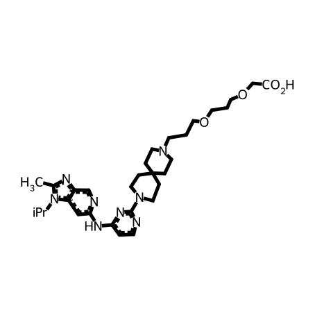 Cc1nc2cnc(Nc3ccnc(N4CCC5(CCN(CCCOCCCOCC(=O)O)CC5)CC4)n3)cc2n1C(C)C